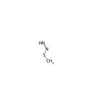 CSN=N